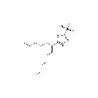 CCCCCCC(CCCCC)c1nnc(S(C)(=O)=O)o1